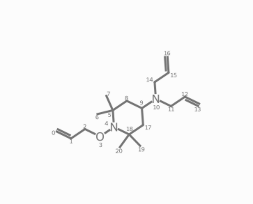 C=CCON1C(C)(C)CC(N(CC=C)CC=C)CC1(C)C